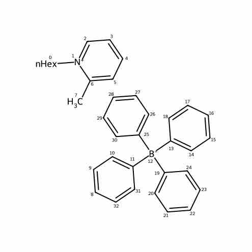 CCCCCC[n+]1ccccc1C.c1ccc([B-](c2ccccc2)(c2ccccc2)c2ccccc2)cc1